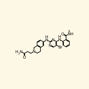 CNC(=O)c1ccccc1Nc1nc(Nc2ccc3c(c2)CCN(CCC(N)=O)C3)ncc1Br